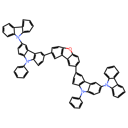 c1ccc(-n2c3ccc(-c4ccc5oc6ccc(-c7ccc8c(c7)c7cc(-n9c%10ccccc%10c%10ccccc%109)ccc7n8-c7ccccc7)cc6c5c4)cc3c3cc(-n4c5ccccc5c5ccccc54)ccc32)cc1